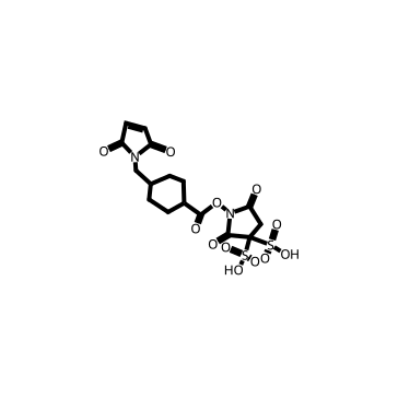 O=C(ON1C(=O)CC(S(=O)(=O)O)(S(=O)(=O)O)C1=O)C1CCC(CN2C(=O)C=CC2=O)CC1